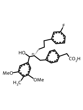 COc1cc(C(O)[C@H](CCCc2cccc(F)c2)Cc2ccc(CC(=O)O)cc2)cc(OC)c1C